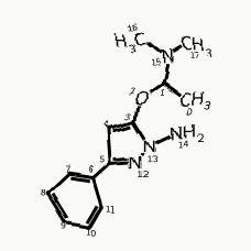 CC(Oc1cc(-c2ccccc2)nn1N)N(C)C